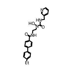 CCc1ccc(-c2ccc(C(=O)NCCN(O)C(=O)NCc3cccnc3)cc2)cc1